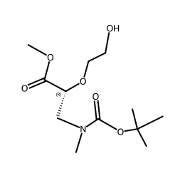 COC(=O)[C@@H](CN(C)C(=O)OC(C)(C)C)OCCO